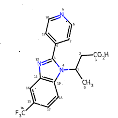 CC(CC(=O)O)n1c(-c2ccncc2)nc2cc(C(F)(F)F)ccc21